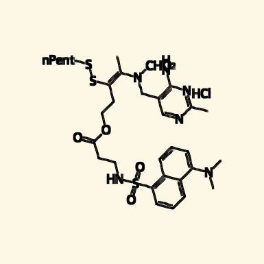 CCCCCSSC(CCOC(=O)CCNS(=O)(=O)c1cccc2c(N(C)C)cccc12)=C(C)N(C=O)Cc1cnc(C)nc1N.Cl